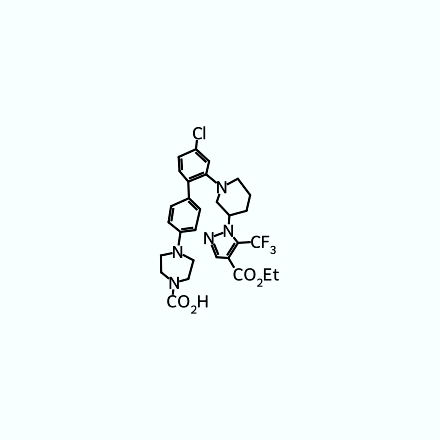 CCOC(=O)c1cnn(C2CCCN(c3cc(Cl)ccc3-c3ccc(N4CCN(C(=O)O)CC4)cc3)C2)c1C(F)(F)F